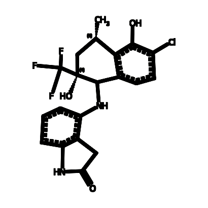 C[C@H]1C[C@](O)(C(F)(F)F)C(Nc2cccc3c2CC(=O)N3)c2ccc(Cl)c(O)c21